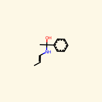 CC=CNC(C)(O)c1ccccc1